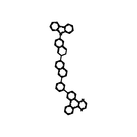 C1=c2ccc(-n3c4ccccc4c4ccccc43)cc2=CCC1c1ccc2cc(-c3cccc(-c4ccc5c(c4)c4ccccc4c4nccnc54)c3)ccc2c1